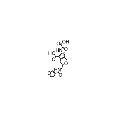 O=C(O)C(=O)Nc1sc2c(c1C(=O)O)CC(CNC(=O)c1ccoc1)OC2